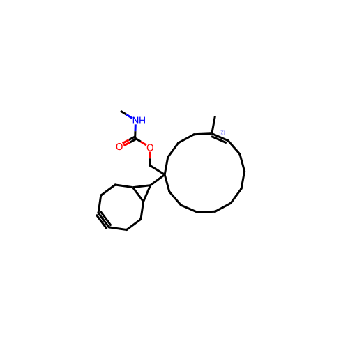 CNC(=O)OCC1(C2C3CCC#CCCC32)CCCCCCCC/C=C(/C)CCC1